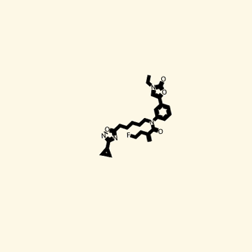 C=C(CCF)C(=O)N(CCCCCc1nc(C2CC2)no1)c1cccc(-c2cn(CC)c(=O)o2)c1